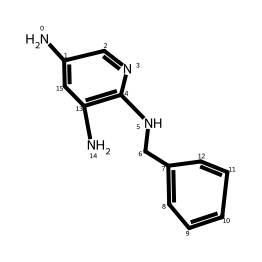 Nc1cnc(NCc2ccccc2)c(N)c1